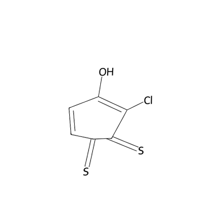 OC1=C(Cl)C(=S)C(=S)C=C1